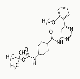 COc1ccccc1-c1cc(NC(=O)C2CCC(NC(=O)OC(C)(C)C)CC2)ncn1